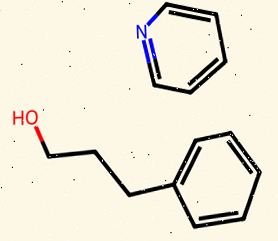 OCCCc1ccccc1.c1ccncc1